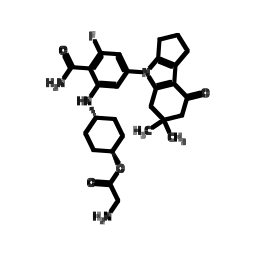 CC1(C)CC(=O)c2c3c(n(-c4cc(F)c(C(N)=O)c(N[C@H]5CC[C@H](OC(=O)CN)CC5)c4)c2C1)CCC3